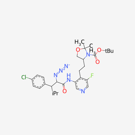 CC(C)C(c1ccc(Cl)cc1)C(N=[N+]=[N-])C(=O)Nc1cncc(F)c1CCC1COC(C)(C)N1C(=O)OC(C)(C)C